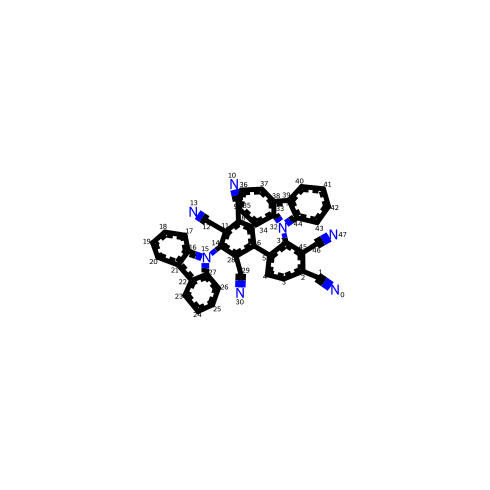 N#Cc1ccc(-c2cc(C#N)c(C#N)c(-n3c4ccccc4c4ccccc43)c2C#N)c(-n2c3ccccc3c3ccccc32)c1C#N